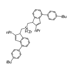 CCCC1=Cc2c(-c3ccc(C(C)CC)cc3)cccc2C1C[SiH]([Zr])CC1C(CCC)=Cc2c(-c3ccc(C(C)CC)cc3)cccc21